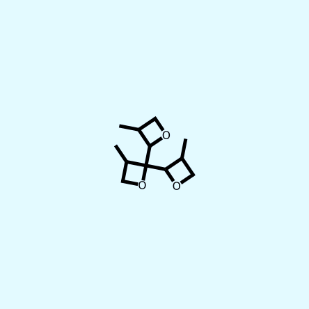 CC1CO[C]1C1(C2OCC2C)OCC1C